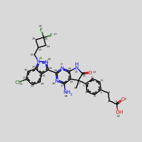 CC1(c2ccc(CCC(=O)O)cc2)C(=O)Nc2nc(-c3nn(CC4CC(F)(F)C4)c4cc(Cl)ccc34)nc(N)c21